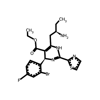 CCOC(=O)C1=C(C[C@H](N)CC)NC(c2nccs2)=N[C@H]1c1ccc(F)cc1Br